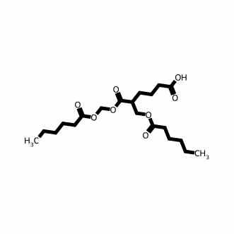 CCCCCC(=O)OCOC(=O)C(CCCC(=O)O)COC(=O)CCCCC